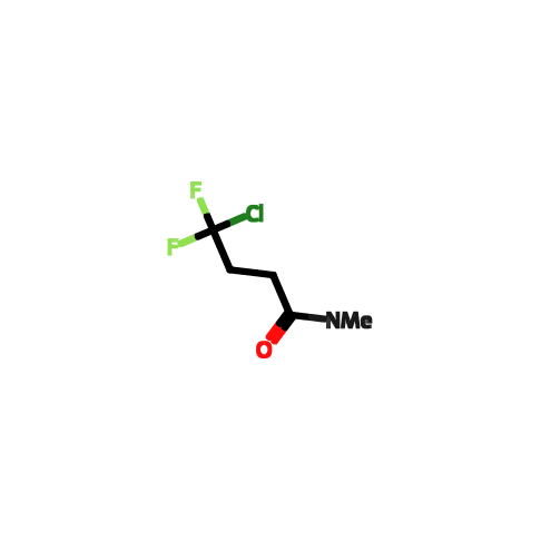 CNC(=O)CCC(F)(F)Cl